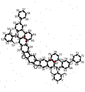 Cc1cccc(C)c1N(c1ccc2cc3c(cc2c1)oc1cc2oc4cc5cc(N(c6ccc(-c7ccccc7)cc6-c6ccccc6)c6c(C)cccc6C)ccc5cc4c2cc13)c1ccc(-c2ccccc2)cc1-c1ccccc1